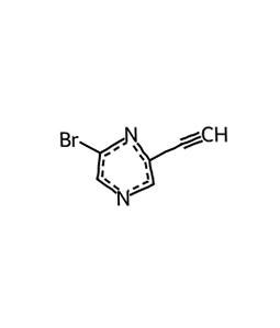 C#Cc1cncc(Br)n1